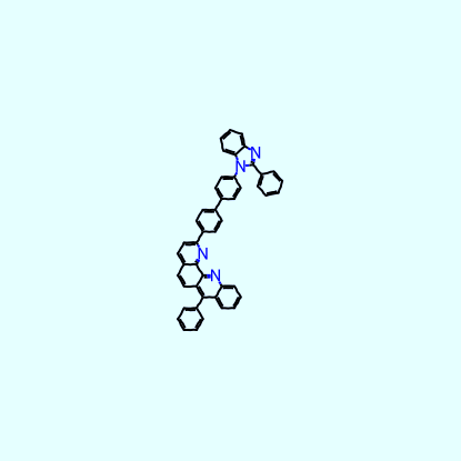 c1ccc(-c2c3ccccc3nc3c2ccc2ccc(-c4ccc(-c5ccc(-n6c(-c7ccccc7)nc7ccccc76)cc5)cc4)nc23)cc1